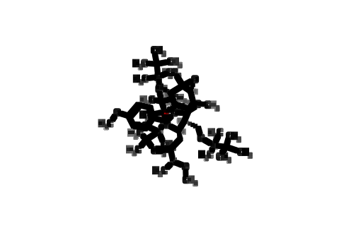 COc1ccc(COC[C@H](C)[C@H]2OC2(C)[C@@H](O[Si](C)(C)C(C)(C)C)[C@@H](CO[Si](C)(C)C(C)(C)C)C(=O)[C@H](CO[Si](C)(C)C(C)(C)C)[C@@H](CC(=O)N(C)OC)O[Si](C)(C)C(C)(C)C)cc1